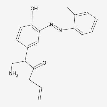 C=CCC(=O)C(CN)c1ccc(O)c(N=Nc2ccccc2C)c1